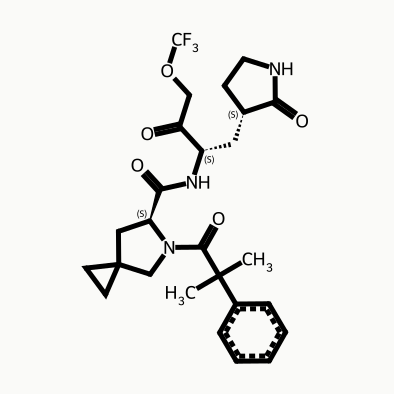 CC(C)(C(=O)N1CC2(CC2)C[C@H]1C(=O)N[C@@H](C[C@@H]1CCNC1=O)C(=O)COC(F)(F)F)c1ccccc1